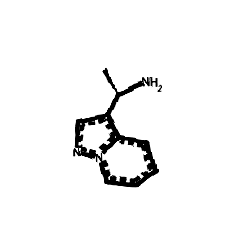 C[C@@H](N)c1cnn2ccccc12